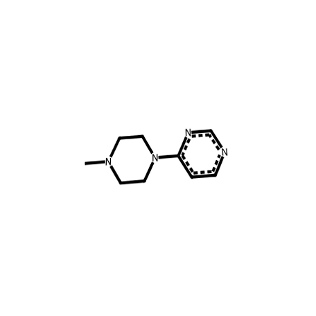 CN1CCN(c2ccncn2)CC1